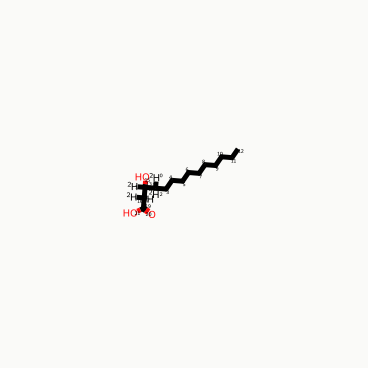 [2H]C([2H])(CCCCCCCCCC)C([2H])(O)C([2H])([2H])C(=O)O